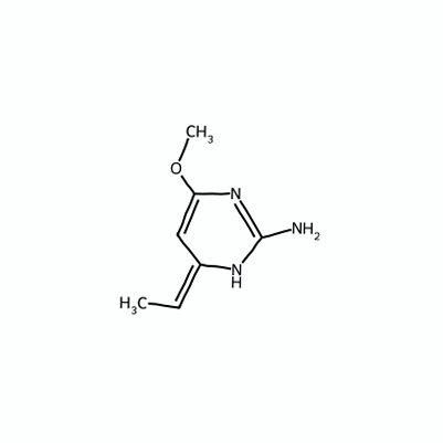 CC=C1C=C(OC)N=C(N)N1